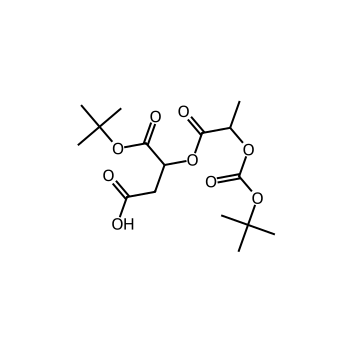 CC(OC(=O)OC(C)(C)C)C(=O)OC(CC(=O)O)C(=O)OC(C)(C)C